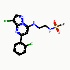 CCCS(=O)(=O)NCCNc1cc(-c2ccccc2Cl)nc2c(Br)cnn12